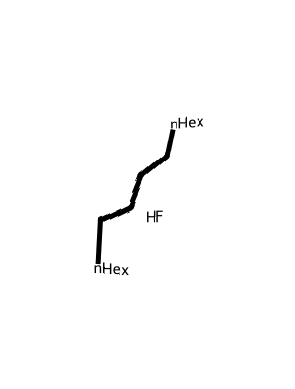 CCCCCCCCCCCCCCCC.F